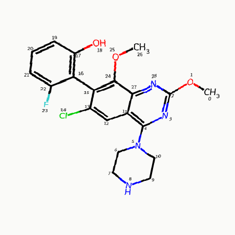 COc1nc(N2CCNCC2)c2cc(Cl)c(-c3c(O)cccc3F)c(OC)c2n1